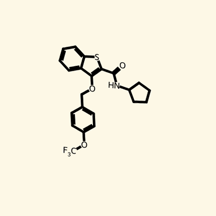 O=C(NC1CCCC1)c1sc2ccccc2c1OCc1ccc(OC(F)(F)F)cc1